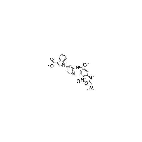 COC(=O)c1cn(-c2ccnc(Nc3cc([N+](=O)[O-])c(N(C)CCN(C)C)cc3OC)n2)c2ccccc12